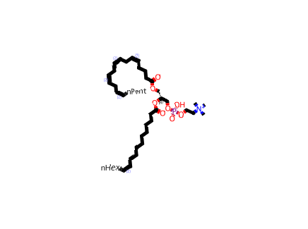 CCCCC/C=C\C/C=C\C/C=C\C/C=C\CCCC(=O)OC[C@H](COP(=O)(O)OCC[N+](C)(C)C)OC(=O)CCCCCCCCC/C=C\CCCCCC